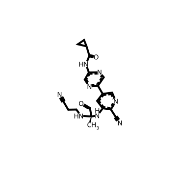 C[C@](C=O)(NCCC#N)Nc1cc(-c2cnc(NC(=O)C3CC3)cn2)cnc1C#N